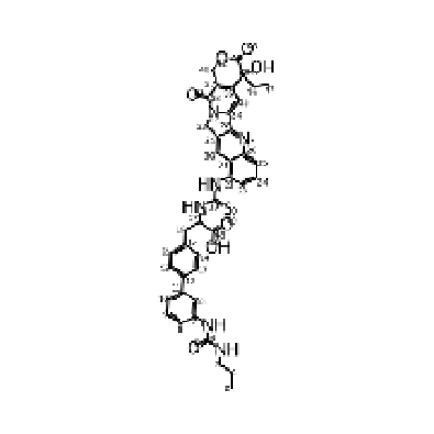 CCCNC(=O)Nc1cccc(-c2ccc(CC(NC(=S)Nc3cccc4nc5c(cc34)Cn3c-5cc4c(c3=O)COC(=O)[C@]4(O)CC)C(=O)O)cc2)c1